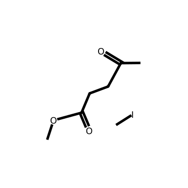 CI.COC(=O)CCC(C)=O